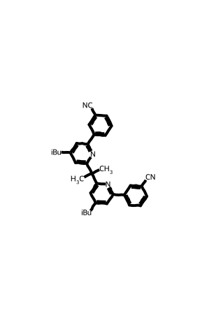 CCC(C)c1cc(-c2cccc(C#N)c2)nc(C(C)(C)c2cc(C(C)CC)cc(-c3cccc(C#N)c3)n2)c1